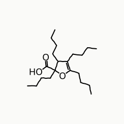 CCCCC1=C(CCCC)C(CCCC)C(CCCC)(C(=O)O)O1